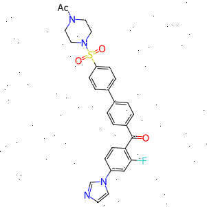 CC(=O)N1CCN(S(=O)(=O)c2ccc(-c3ccc(C(=O)c4ccc(-n5ccnc5)cc4F)cc3)cc2)CC1